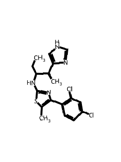 CCC(Nc1nc(-c2ccc(Cl)cc2Cl)c(C)s1)C(C)c1c[nH]cn1